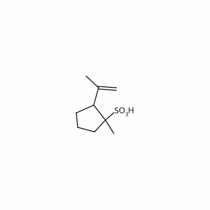 C=C(C)C1CCCC1(C)S(=O)(=O)O